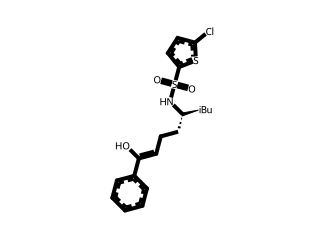 CC[C@H](C)[C@H](CC/C=C(\O)c1ccccc1)NS(=O)(=O)c1ccc(Cl)s1